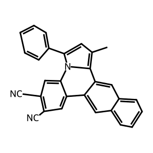 Cc1cc(-c2ccccc2)n2c3cc(C#N)c(C#N)cc3c3cc4ccccc4cc3c12